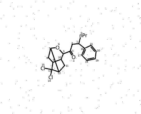 [CH2]CCC(CC(=O)[C]1OC2CC3C1CC2C3(Cl)Cl)c1ccccc1